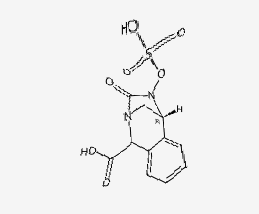 O=C(O)C1c2ccccc2[C@@H]2CN1C(=O)N2OS(=O)(=O)O